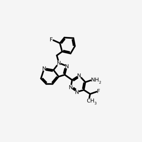 CC(F)c1nnc(-c2nn(Cc3ccccc3F)c3ncccc23)nc1N